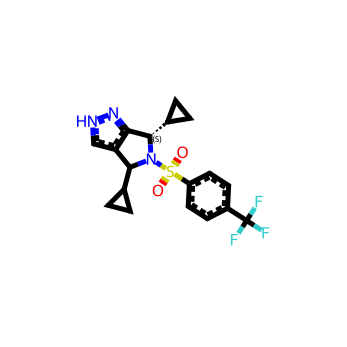 O=S(=O)(c1ccc(C(F)(F)F)cc1)N1C(C2CC2)c2c[nH]nc2[C@@H]1C1CC1